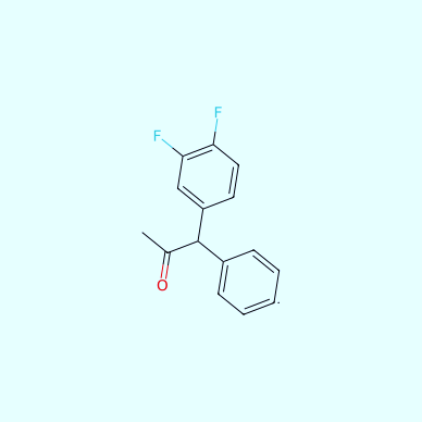 CC(=O)C(c1cc[c]cc1)c1ccc(F)c(F)c1